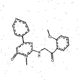 COc1ccccc1C(=O)CNc1nc(-c2ccncc2)cc(=O)n1C